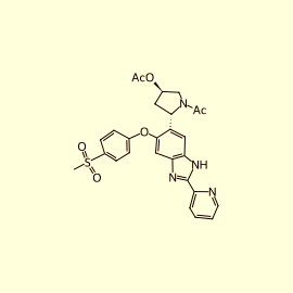 CC(=O)O[C@@H]1C[C@@H](c2cc3[nH]c(-c4ccccn4)nc3cc2Oc2ccc(S(C)(=O)=O)cc2)N(C(C)=O)C1